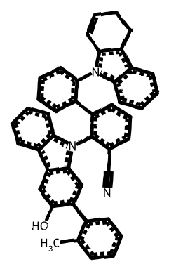 Cc1ccccc1-c1cc2c(cc1O)c1ccccc1n2-c1c(C#N)cccc1-c1ccccc1-n1c2c(c3ccccc31)CCC=C2